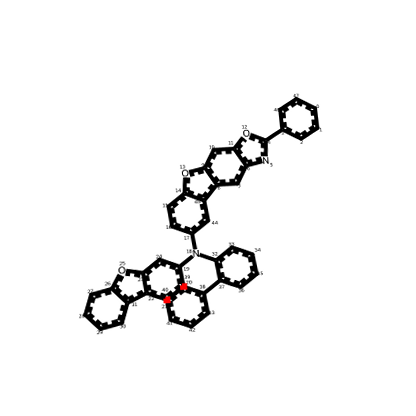 c1ccc(-c2nc3cc4c(cc3o2)oc2ccc(N(c3ccc5c(c3)oc3ccccc35)c3ccccc3-c3ccccc3)cc24)cc1